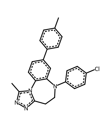 Cc1ccc(-c2ccc3c(c2)N(c2ccc(Cl)cc2)CCc2nnc(C)n2-3)cc1